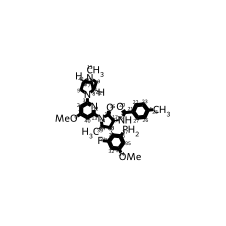 COc1cc(N2C[C@@H]3C[C@H]2CN3C)nc(N2C(=O)[C@@H](NC(=O)c3ccc(C)cc3)[C@H](c3c(F)cc(OC)cc3P)[C@@H]2C)c1